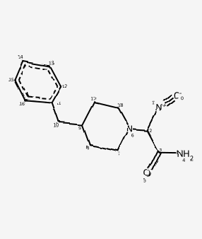 [C-]#[N+]C(C(N)=O)N1CCC(Cc2ccccc2)CC1